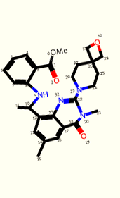 COC(=O)c1ccccc1NC(C)c1cc(C)cc2c(=O)n(C)c(N3CCC4(CC3)COC4)nc12